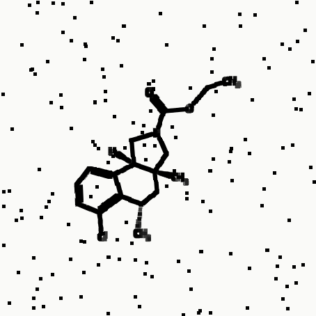 CCOC(=O)N1C[C@H]2c3cccc(Cl)c3[C@@H](C)C[C@@]2(C)C1